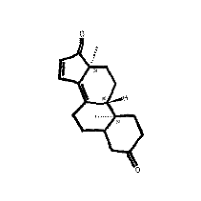 C[C@]12CC[C@H]3C(=C1C=CC2=O)CCC1CC(=O)CC[C@@]13C